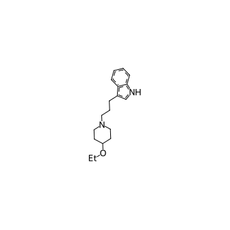 CCOC1CCN(CCCc2c[nH]c3ccccc23)CC1